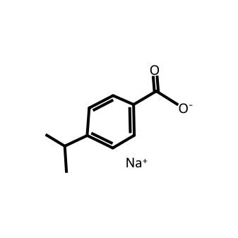 CC(C)c1ccc(C(=O)[O-])cc1.[Na+]